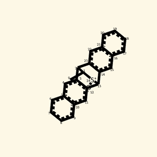 CC1C2c3cc4ccccc4cc3C(c3cc4ccccc4cc32)[S+]1[O-]